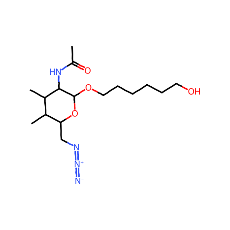 CC(=O)NC1C(OCCCCCCO)OC(CN=[N+]=[N-])C(C)C1C